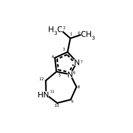 CC(C)c1cc2n(n1)CCCNC2